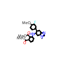 COC(=O)c1cccc(Nc2cc3c(cc2-c2ccc(OC)c(F)c2)ncn3C)c1C(=O)OC